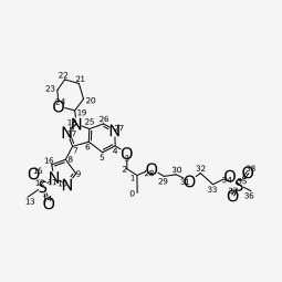 CC(COc1cc2c(-c3cnn(S(C)(=O)=O)c3)nn(C3CCCCO3)c2cn1)OCCOCCOS(C)(=O)=O